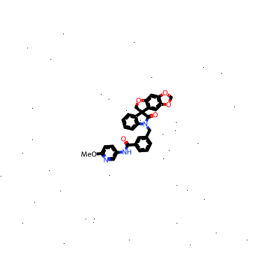 COc1ccc(NC(=O)c2cccc(CN3C(=O)C4(COc5cc6c(cc54)OCO6)c4ccccc43)c2)cn1